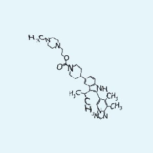 Cc1c(-c2[nH]c3ccc(C4CCN(C(=O)OCCN5CCN(C)CC5)CC4)cc3c2C(C)C)cn2ncnc2c1C